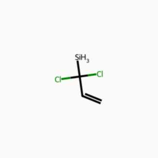 C=CC([SiH3])(Cl)Cl